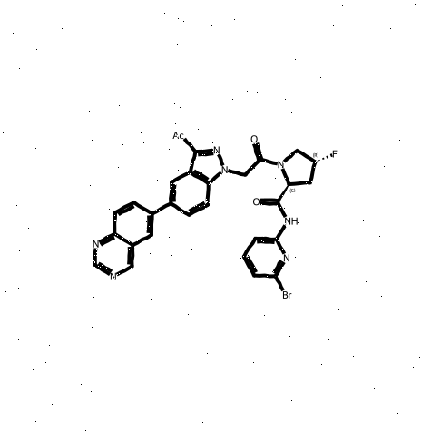 CC(=O)c1nn(CC(=O)N2C[C@H](F)C[C@H]2C(=O)Nc2cccc(Br)n2)c2ccc(-c3ccc4ncncc4c3)cc12